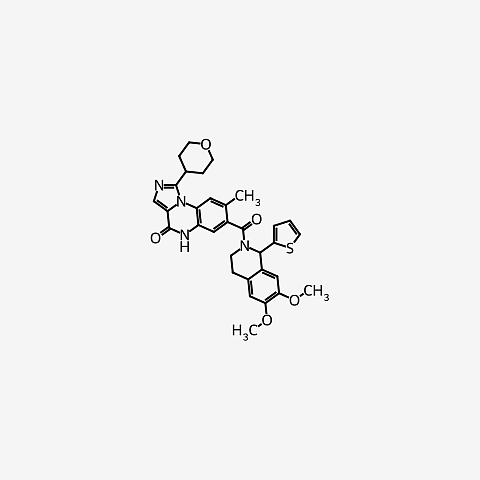 COc1cc2c(cc1OC)C(c1cccs1)N(C(=O)c1cc3[nH]c(=O)c4cnc(C5CCOCC5)n4c3cc1C)CC2